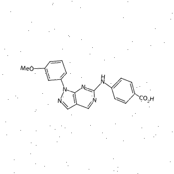 COc1cccc(-n2ncc3cnc(Nc4ccc(C(=O)O)cc4)nc32)c1